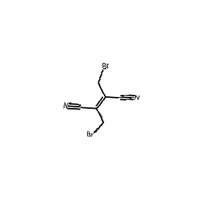 N#C/C(CBr)=C(/C#N)CBr